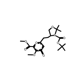 COC(=O)c1oc(CCC2COC(C)(C)N2C(=O)OC(C)(C)C)cc(=O)c1OC